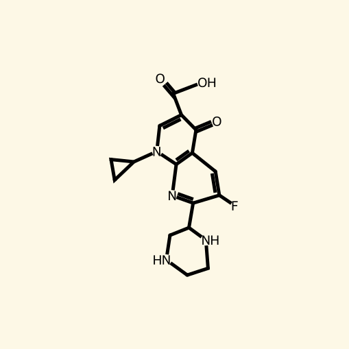 O=C(O)c1cn(C2CC2)c2nc(C3CNCCN3)c(F)cc2c1=O